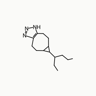 CCCC(CC)C1C2CCc3nn[nH]c3CCC21